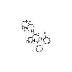 C[C@@H](c1ccccc1-c1cccc(F)c1)n1cncc1C(=O)N1CCC2NCCO[C@@H]2C1